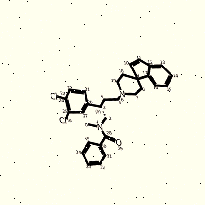 CN(C[C@@H](CCN1CCC2(C=Cc3ccccc32)CC1)c1ccc(Cl)c(Cl)c1)C(=O)c1ccccc1